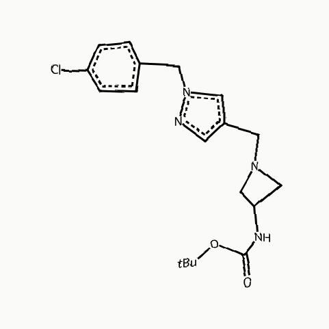 CC(C)(C)OC(=O)NC1CN(Cc2cnn(Cc3ccc(Cl)cc3)c2)C1